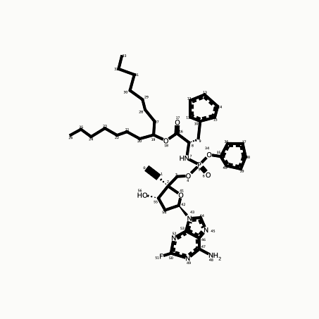 C#C[C@]1(COP(=O)(N[C@@H](Cc2ccccc2)C(=O)OC(CCCCCCC)CCCCCCC)Oc2ccccc2)O[C@@H](n2cnc3c(N)nc(F)nc32)C[C@@H]1O